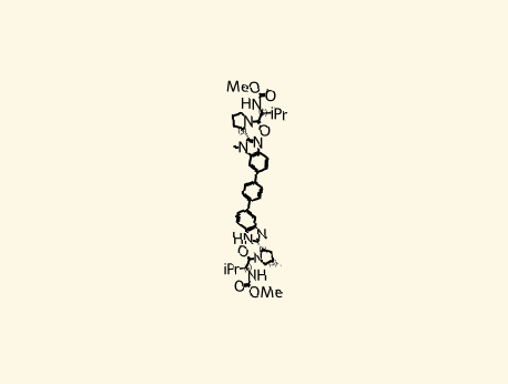 COC(=O)N[C@H](C(=O)N1C[C@@H](C)C[C@H]1c1nc2cc(-c3ccc(-c4ccc5nc([C@@H]6CCCN6C(=O)[C@@H](NC(=O)OC)C(C)C)n(C)c5c4)cc3)ccc2[nH]1)C(C)C